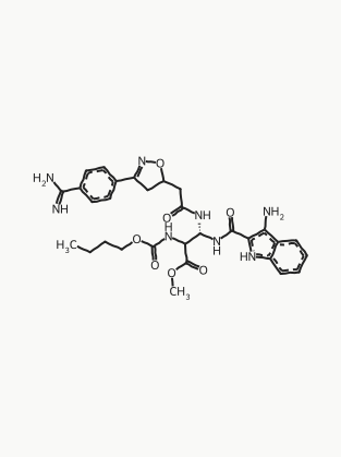 CCCCOC(=O)NC(C(=O)OC)[C@H](NC(=O)CC1CC(c2ccc(C(=N)N)cc2)=NO1)NC(=O)c1[nH]c2ccccc2c1N